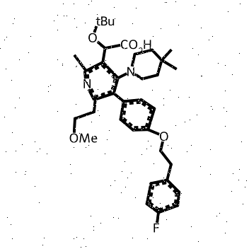 COCCc1nc(C)c(C(OC(C)(C)C)C(=O)O)c(N2CCC(C)(C)CC2)c1-c1ccc(OCCc2ccc(F)cc2)cc1